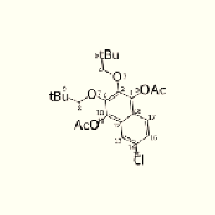 CC(=O)Oc1c(OCC(C)(C)C)c(OCC(C)(C)C)c(OC(C)=O)c2cc(Cl)ccc12